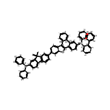 CC1(C)c2cc(-c3ccc4c(c3)oc3c5ccc(N(c6ccccc6)c6ccccc6-c6ccccc6)cc5c5ccccc5c43)ccc2-c2ccc(N(c3ccccc3)c3ccccc3)cc21